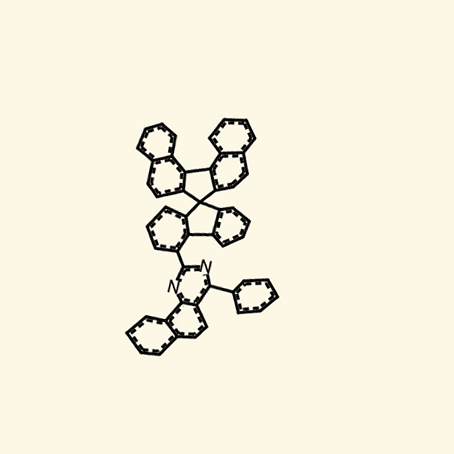 c1ccc(-c2nc(-c3cccc4c3-c3ccccc3C43c4ccc5ccccc5c4-c4c3ccc3ccccc43)nc3c2ccc2ccccc23)cc1